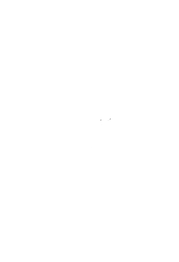 CC1CCC(F)C[C@H]1F